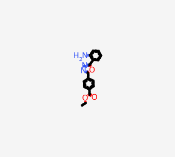 CCOC(=O)c1ccc(-c2nnc(-c3ccccc3N)o2)cc1